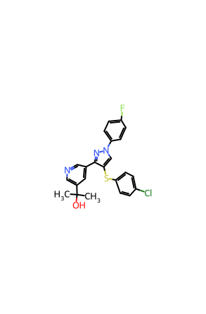 CC(C)(O)c1cncc(-c2nn(-c3ccc(F)cc3)cc2Sc2ccc(Cl)cc2)c1